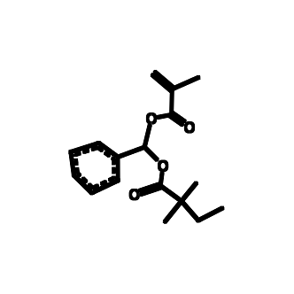 C=C(C)C(=O)OC(OC(=O)C(C)(C)CC)c1ccccc1